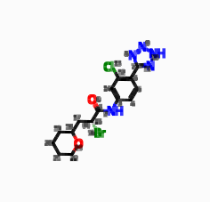 O=C(Nc1ccc(-c2nn[nH]n2)c(Cl)c1)[C@H](Br)CC1CCCCO1